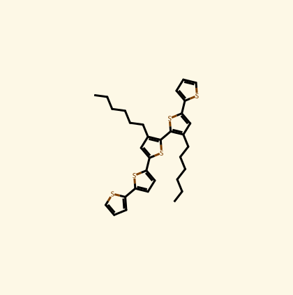 CCCCCCc1cc(-c2cccs2)sc1-c1sc(-c2ccc(-c3cccs3)s2)cc1CCCCCC